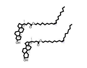 CCCCCCCC/C=C\CCCCCCCCOC(=O)CC[C@@H](C)C1CCC2C3CCC4C[C@H](O)CC[C@]4(C)C3CC[C@@]21C.CCCCCCCC/C=C\CCCCCCCCOC(=O)CC[C@@H](C)C1CCC2C3CCC4C[C@H](O)CC[C@]4(C)C3CC[C@@]21C